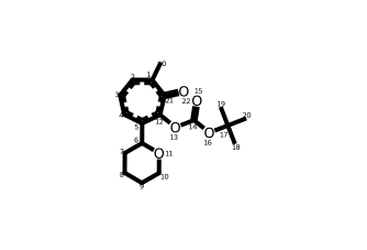 Cc1cccc(C2CCCCO2)c(OC(=O)OC(C)(C)C)c1=O